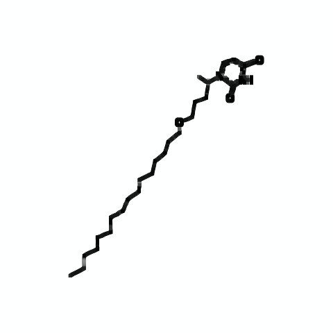 CCCCCCCCCCCCCCCCOCCC[C](C)n1ccc(=O)[nH]c1=O